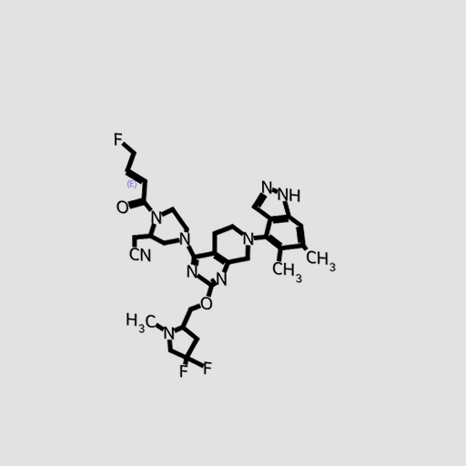 Cc1cc2[nH]ncc2c(N2CCc3c(nc(OCC4CC(F)(F)CN4C)nc3N3CCN(C(=O)/C=C/CF)C(CC#N)C3)C2)c1C